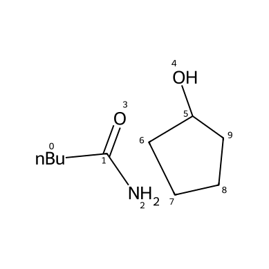 CCCCC(N)=O.OC1CCCC1